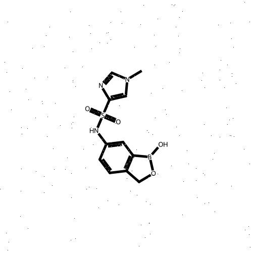 Cn1cnc(S(=O)(=O)Nc2ccc3c(c2)B(O)OC3)c1